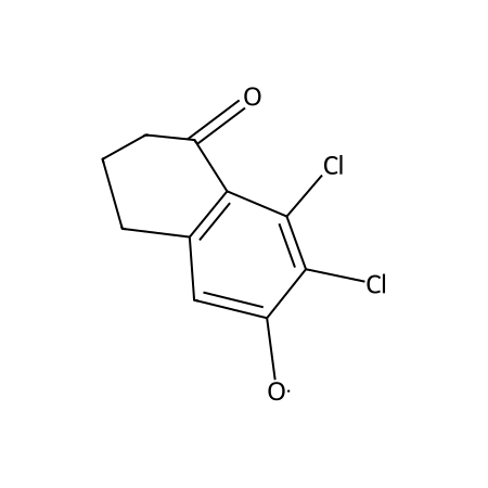 [O]c1cc2c(c(Cl)c1Cl)C(=O)CCC2